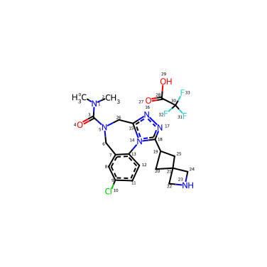 CN(C)C(=O)N1Cc2cc(Cl)ccc2-n2c(nnc2C2CC3(CNC3)C2)C1.O=C(O)C(F)(F)F